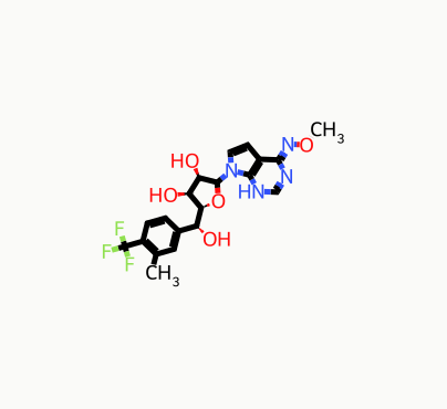 CO/N=c1\nc[nH]c2c1ccn2C1O[C@H]([C@H](O)c2ccc(C(F)(F)F)c(C)c2)[C@@H](O)[C@H]1O